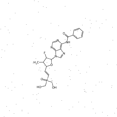 CC1C(/C=C/P(=O)(CO)CO)OC(n2cnc3c(NC(=O)c4ccccc4)ncnc32)C1F